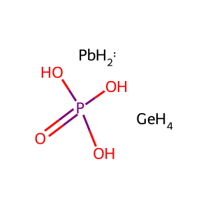 O=P(O)(O)O.[GeH4].[PbH2]